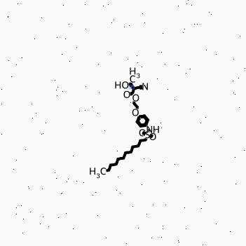 CCCCCCCCCCCCS(=O)(=O)Nc1ccc(OCCOC(=O)/C(C#N)=C(/C)O)cc1